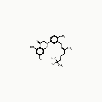 C/C(=C\Cc1cc([C@@H]2CC(=O)c3c(O)cc(O)cc3O2)ccc1C)CCCC(C)(C)O